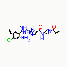 C=CC(=O)N1CC(NC(=O)c2cnc(CNC(=N)c3cc(C=C)c(Cl)cc3N)n2C)C1